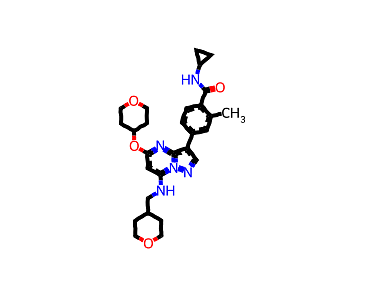 Cc1cc(-c2cnn3c(NCC4CCOCC4)cc(OC4CCOCC4)nc23)ccc1C(=O)NC1CC1